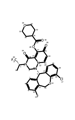 C[C@@H](N1CN([C@H]2c3cccc(F)c3CSc3c(Cl)cccc32)n2ccc(=O)c(OC(=O)C3CCOCC3)c2C1=O)C(F)(F)F